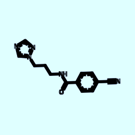 N#Cc1ccc(C(=O)NCCCn2cncn2)cc1